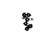 N#CC1=CC(c2cccc(-n3c4ccccc4c4ccccc43)c2)=CC(C#N)(n2c3ccccc3c3ccccc32)C1